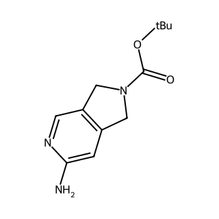 CC(C)(C)OC(=O)N1Cc2cnc(N)cc2C1